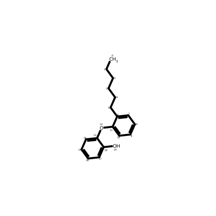 CCCCCCc1ccccc1Oc1ccccc1O